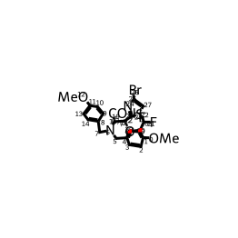 COc1ccc(CN(Cc2ccc(OC)cc2)[C@H](C(=O)O)[C@H](OCC(F)F)c2nc(Br)cs2)cc1